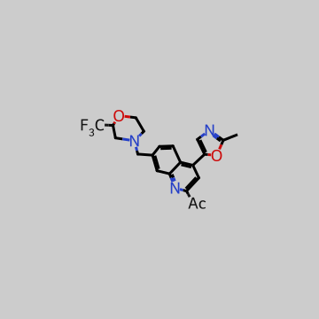 CC(=O)c1cc(-c2cnc(C)o2)c2ccc(CN3CCOC(C(F)(F)F)C3)cc2n1